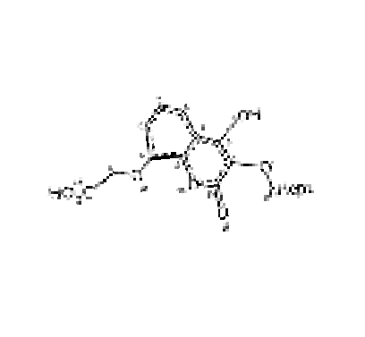 CCCCCCCOc1c(O)c2cccc(OCC(=O)O)c2oc1=O